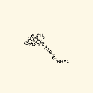 CC(=O)NCCOCCOCCOCCCc1ccc2c(c1)n(C)c(=O)n2C1CCC(=O)NC1=O